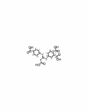 O=C(O)CN(Cc1ccc(C(=O)O)cc1)Cc1ccc(C(=O)O)c(C(=O)O)c1